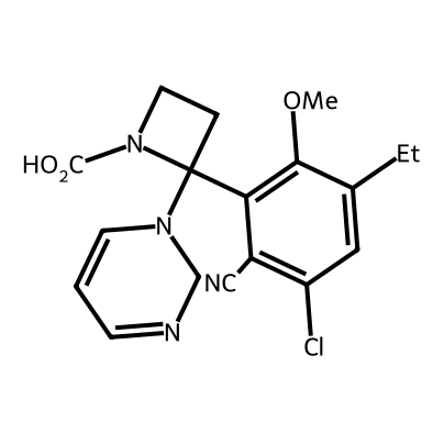 CCc1cc(Cl)c(C#N)c(C2(N3C=CC=NC3)CCN2C(=O)O)c1OC